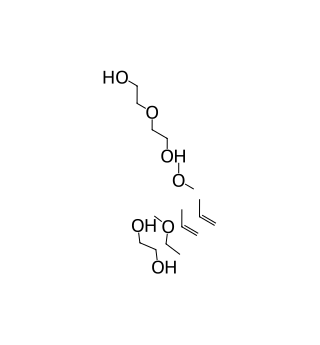 C=CC.C=CC.CCOC.COC.OCCO.OCCOCCO